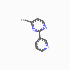 CC(C)c1ccnc(-c2cccnc2)n1